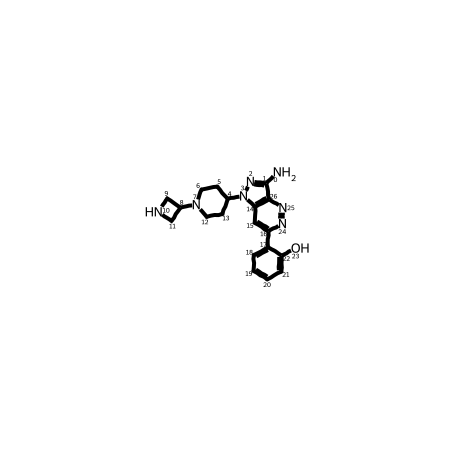 Nc1nn(C2CCN(C3CNC3)CC2)c2cc(-c3ccccc3O)nnc12